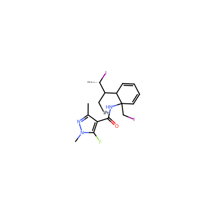 Cc1nn(C)c(F)c1C(=O)NC1(CI)C=CC=CC1C(CC(C)C)[C@H](C)I